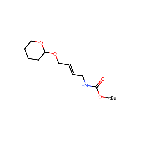 CC(C)(C)OC(=O)NC/C=C/COC1CCCCO1